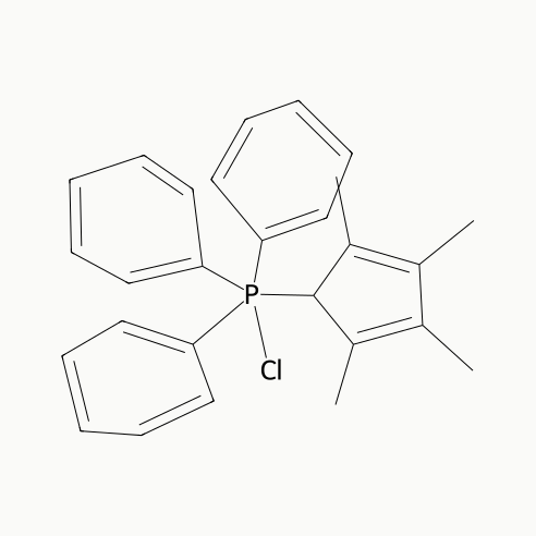 CC1=C(C)C(P(Cl)(c2ccccc2)(c2ccccc2)c2ccccc2)C(C)=C1C